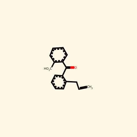 C=CCc1ccccc1C(=O)c1ccccc1C(=O)O